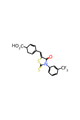 O=C(O)C1C=CC(/C=C2\SC(=S)N(c3cccc(C(F)(F)F)c3)C2=O)=CC1